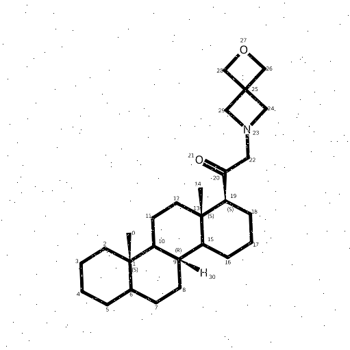 C[C@]12CCCCC1CC[C@@H]1C2CC[C@@]2(C)C1CCC[C@@H]2C(=O)CN1CC2(COC2)C1